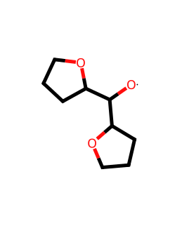 [O]C(C1CCCO1)C1CCCO1